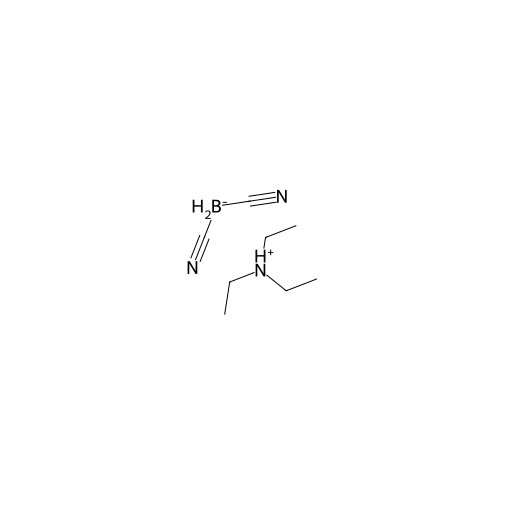 CC[NH+](CC)CC.N#C[BH2-]C#N